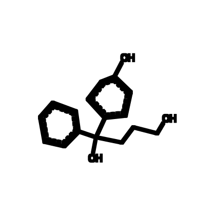 OCCCC(O)(c1ccccc1)c1ccc(O)cc1